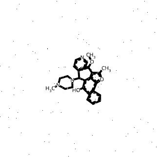 COC(=O)c1c(C)oc2c1c(C(c1ccncc1)N1CCN(C)CC1)c(O)c1ccccc12